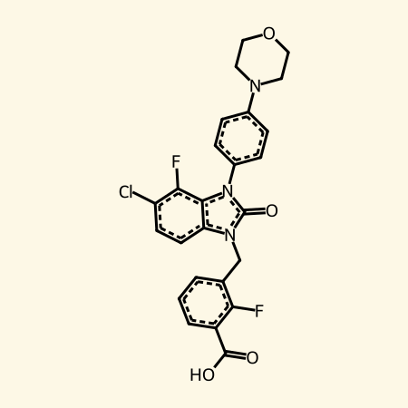 O=C(O)c1cccc(Cn2c(=O)n(-c3ccc(N4CCOCC4)cc3)c3c(F)c(Cl)ccc32)c1F